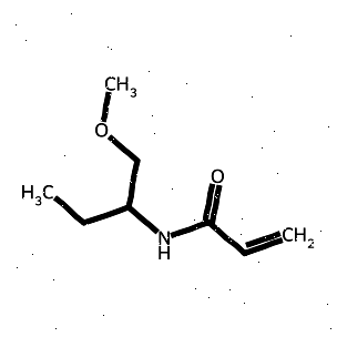 C=CC(=O)NC(CC)COC